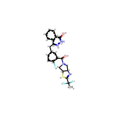 CC(F)(F)C1=NC2CN(C(=O)c3cc(Cc4n[nH]c(=O)c5ccccc45)ccc3F)CC2S1